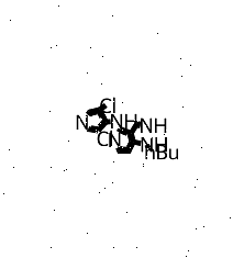 CCCCNc1ccnc(Nc2c(Cl)cncc2Cl)c1C=N